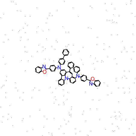 C1=C(c2ccccc2)c2cc(N(c3ccc(-c4ccccc4)cc3)c3ccc(-c4nc5ccccc5o4)cc3)cc3c4ccccc4n(c23)-c2cccc(N(c3ccccc3)c3ccc(-c4nc5ccccc5o4)cc3)c21